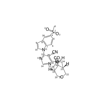 CS(=O)(=O)c1ccc2c(ccn2-c2ncnc(OC3[C@@H]4COC[C@H]3CN(C(=O)O)C4)c2C#N)c1